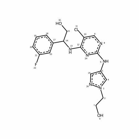 OCCn1cc(Nc2ncc(Cl)c(NC(CO)c3cccc(F)c3)n2)cn1